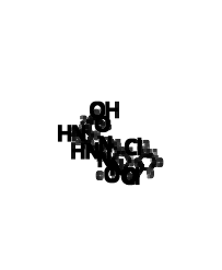 COn1c(=O)c(-c2c(Cl)cccc2Cl)cc2cnc(Nc3c[nH]c(CC(=O)O)c3)nc21